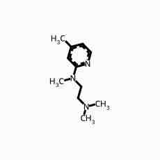 Cc1ccnc(N(C)CCN(C)C)c1